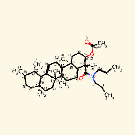 CCCN(CCC)C(=O)[C@]1(C)C2CC[C@]3(C)C(CC=C4C5[C@@H](C)[C@H](C)CC[C@]5(C)CC[C@]43C)[C@@]2(C)CC[C@H]1OC(C)=O